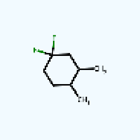 CC1CCC(F)(F)CC1C